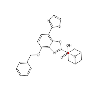 O=C(O)N1C2CC1CN(c1nc3c(OCc4ccccc4)ccc(-c4nccs4)c3o1)C2